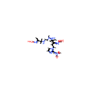 CC(=NO)C(C)(C)NCCN(C)NC(C)(C)C(CCn1ccnc1[N+](=O)[O-])=NO